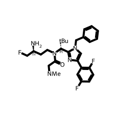 CNCC(=O)N(CC[C@H](N)CF)[C@@H](c1nc(-c2cc(F)ccc2F)cn1Cc1ccccc1)C(C)(C)C